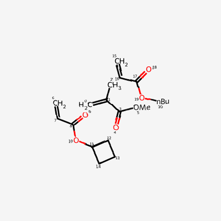 C=C(C)C(=O)OC.C=CC(=O)OC1CCC1.C=CC(=O)OCCCC